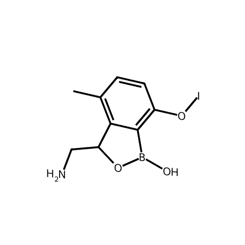 Cc1ccc(OI)c2c1C(CN)OB2O